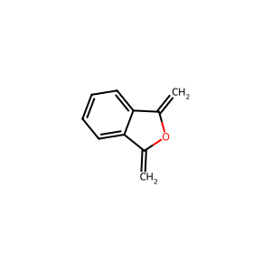 C=c1oc(=C)c2ccccc12